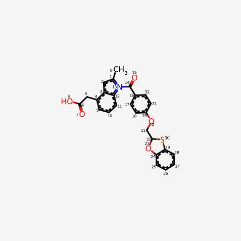 Cc1cc2c(CC(=O)O)cccc2n1C(=O)c1ccc(OCC2Oc3ccccc3S2)cc1